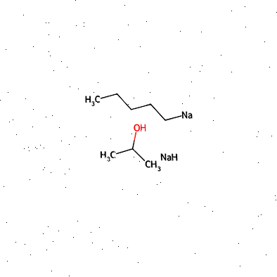 CC(C)O.CCCC[CH2][Na].[NaH]